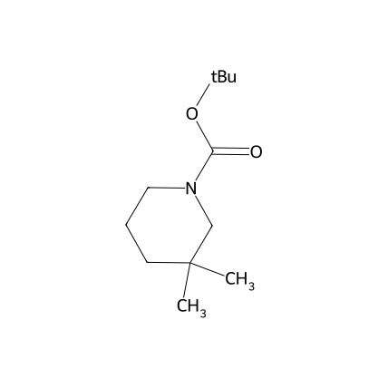 CC1(C)CCCN(C(=O)OC(C)(C)C)C1